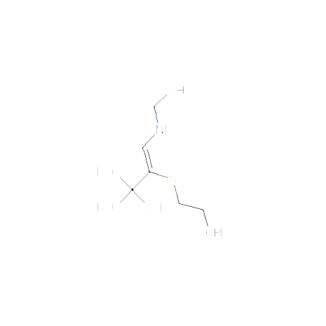 CCCS/C(=C\NCC)C(C)(C)C